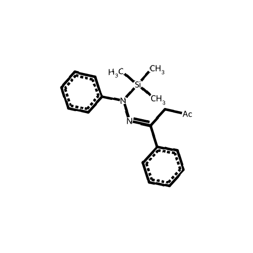 CC(=O)C/C(=N\N(c1ccccc1)[Si](C)(C)C)c1ccccc1